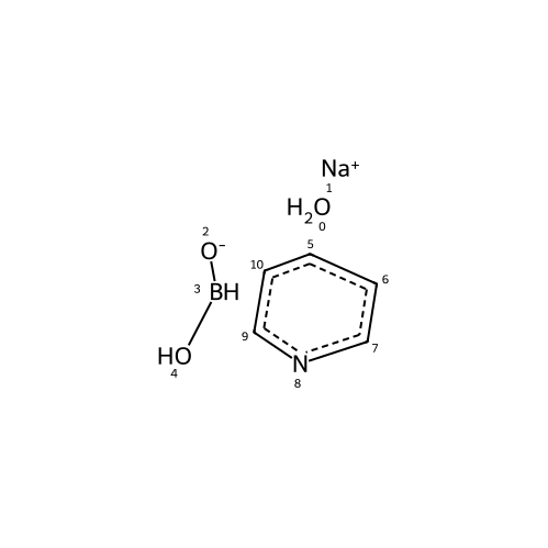 O.[Na+].[O-]BO.c1ccncc1